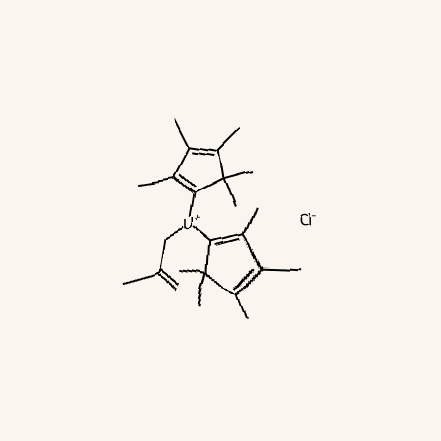 C=C(C)[CH2][U+]([C]1=C(C)C(C)=C(C)C1(C)C)[C]1=C(C)C(C)=C(C)C1(C)C.[Cl-]